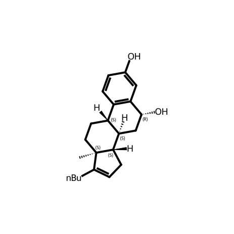 CCCCC1=CC[C@H]2[C@@H]3C[C@@H](O)c4cc(O)ccc4[C@H]3CC[C@]12C